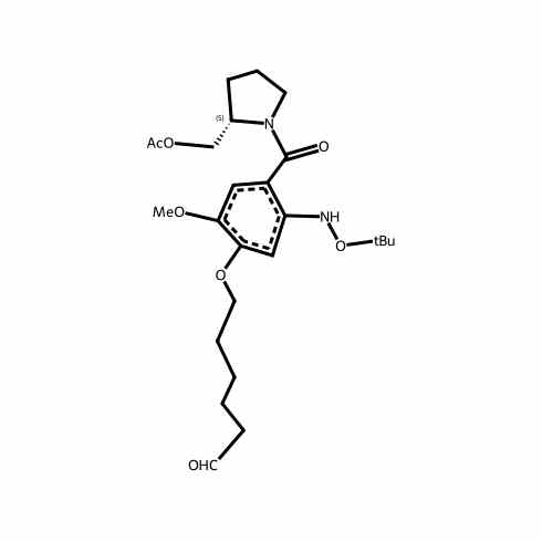 COc1cc(C(=O)N2CCC[C@H]2COC(C)=O)c(NOC(C)(C)C)cc1OCCCCCC=O